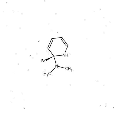 CN(C)[C@]1(Br)C=CC=CN1